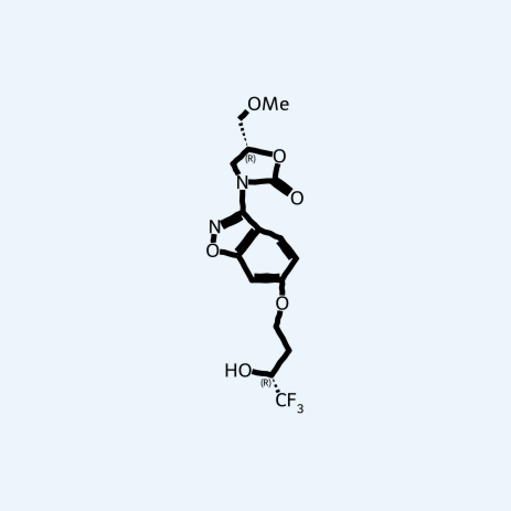 COC[C@H]1CN(c2noc3cc(OCC[C@@H](O)C(F)(F)F)ccc23)C(=O)O1